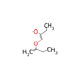 C=C(CC)OC=C([O])CC